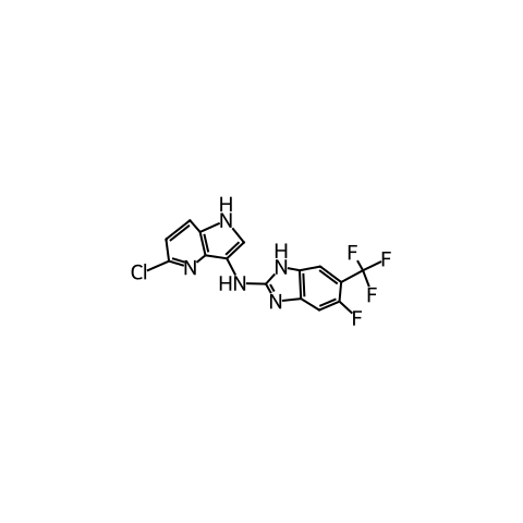 Fc1cc2nc(Nc3c[nH]c4ccc(Cl)nc34)[nH]c2cc1C(F)(F)F